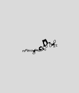 CCCCCC(=O)ONc1ccn([C@H]2CC[C@@H](COC(=O)CC)O2)c(=O)n1